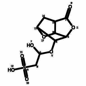 O=C1OC2C(OC(O)CS(=O)(=O)O)C3CC1C2O3